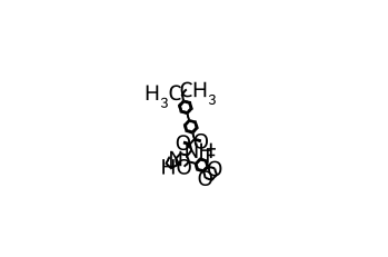 CC(C)c1ccc(-c2ccc(C(=O)C(=O)NC(CN3CCCC3)C(O)c3cc(F)c4c(c3)OCCO4)cc2)cc1